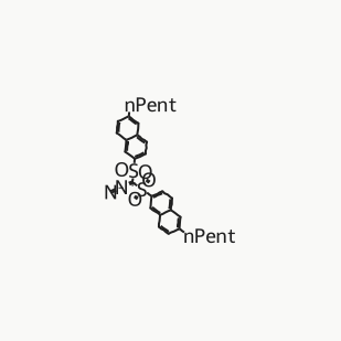 CCCCCc1ccc2cc(S(=O)(=O)C(=[N+]=[N-])S(=O)(=O)c3ccc4cc(CCCCC)ccc4c3)ccc2c1